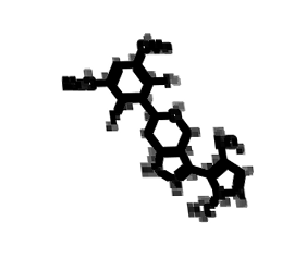 COc1cc(OC)c(F)c(C2Cc3[nH]nc(-c4c([N+](=O)[O-])cnn4C)c3CO2)c1F